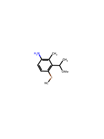 COC(C)c1c(SC#N)ccc(N)c1C